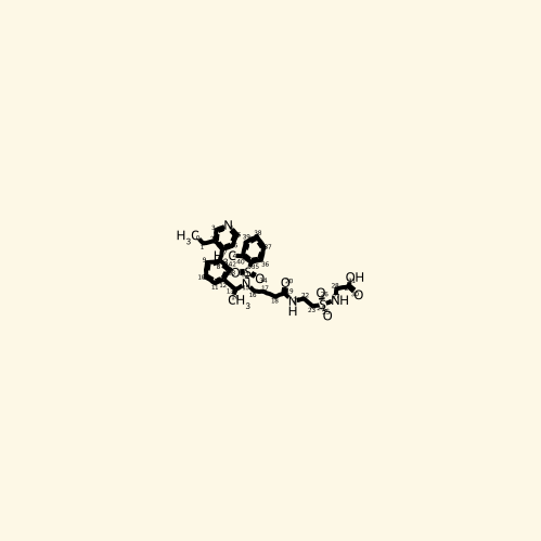 CCc1cnccc1-c1cccc(C(C)N(CCCC(=O)NCCS(=O)(=O)NCC(=O)O)S(=O)(=O)c2ccccc2C)c1